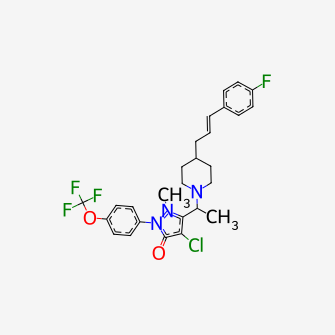 CC(c1c(Cl)c(=O)n(-c2ccc(OC(F)(F)F)cc2)n1C)N1CCC(CC=Cc2ccc(F)cc2)CC1